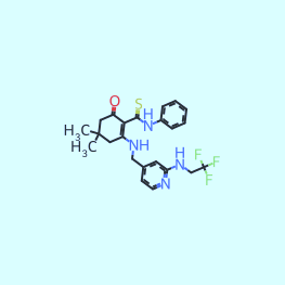 CC1(C)CC(=O)C(C(=S)Nc2ccccc2)=C(NCc2ccnc(NCC(F)(F)F)c2)C1